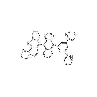 c1ccc(-c2cc(-c3ccccn3)cc(-c3c4ccccc4c(-c4c5ccccc5nc5c4ccc4cccnc45)c4ccccc34)c2)nc1